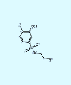 O=C(O)c1cc(S(=O)(=O)NCCO)ccc1Cl